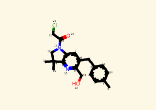 Cc1ccc(Cc2cc3c(nc2CO)C(C)(C)CN3C(=O)CCl)cc1